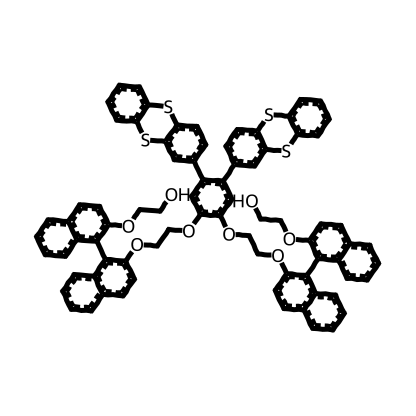 OCCOc1ccc2ccccc2c1-c1c(OCCOc2cc(-c3ccc4c(c3)Sc3ccccc3S4)c(-c3ccc4c(c3)Sc3ccccc3S4)cc2OCCOc2ccc3ccccc3c2-c2c(OCCO)ccc3ccccc23)ccc2ccccc12